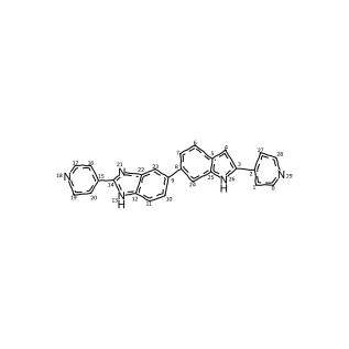 c1cc(-c2cc3ccc(-c4ccc5[nH]c(-c6ccncc6)nc5c4)cc3[nH]2)ccn1